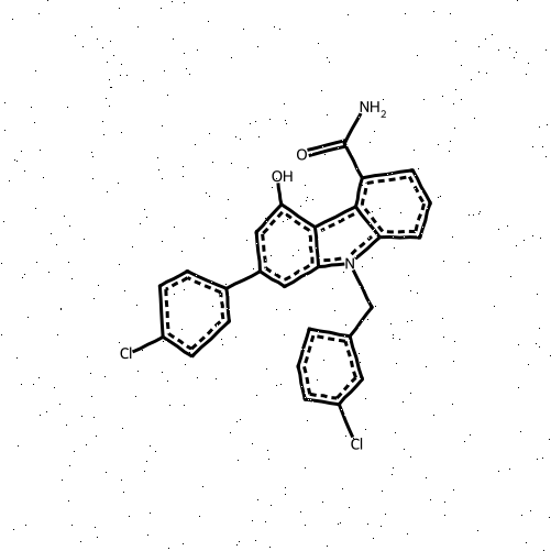 NC(=O)c1cccc2c1c1c(O)cc(-c3ccc(Cl)cc3)cc1n2Cc1cccc(Cl)c1